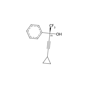 O[C@](C#CC1CC1)(c1ccccc1)C(F)(F)F